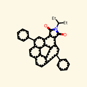 CCC(CC)n1c(=O)c2c3cc(-c4ccccc4)c4ccc5ccc6c(-c7ccccc7)cc(c2c1=O)c1c6c5c4c31